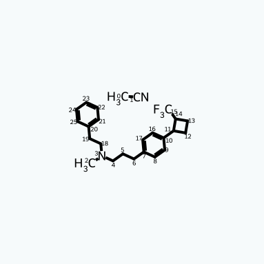 CC#N.CN(CCCc1ccc(C2CCC2C(F)(F)F)cc1)CCc1ccccc1